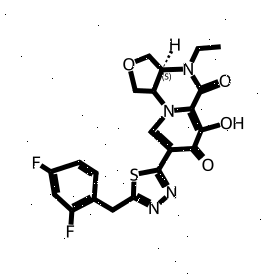 CCN1C(=O)c2c(O)c(=O)c(-c3nnc(Cc4ccc(F)cc4F)s3)cn2C2COC[C@H]21